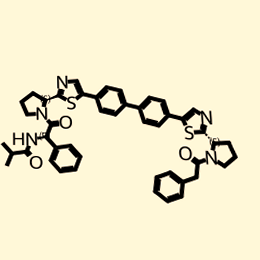 CC(C)C(=O)N[C@@H](C(=O)N1CCC[C@H]1c1ncc(-c2ccc(-c3ccc(-c4cnc([C@@H]5CCCN5C(=O)Cc5ccccc5)s4)cc3)cc2)s1)c1ccccc1